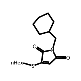 CCCCCCSC1=CC(=O)N(CC2CCCCC2)C1=O